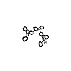 c1ccc(-c2nc3cccc4c5cc(-n6c7ccccc7c7ccc(-c8ccc9c(c8)c8ccccc8n9-c8ccccc8)cc76)ccc5c2n34)cc1